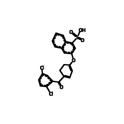 O=C(C1=CC=C(Oc2cc(S(=O)(=O)O)c3ccccc3c2)CC1)c1cc(Cl)ccc1Cl